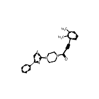 Cc1cccc(C#CC(=O)N2CCN(c3nc(-c4ccccc4)cs3)CC2)c1C